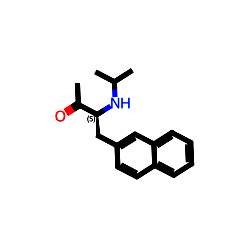 CC(=O)[C@H](Cc1ccc2ccccc2c1)NC(C)C